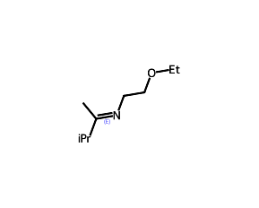 CCOCC/N=C(\C)C(C)C